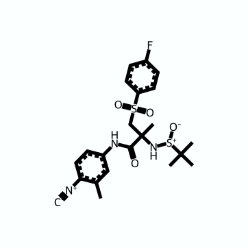 [C-]#[N+]c1ccc(NC(=O)C(C)(CS(=O)(=O)c2ccc(F)cc2)N[S+]([O-])C(C)(C)C)cc1C